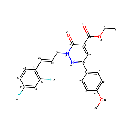 CCOC(=O)c1cc(-c2ccc(OC)cc2)nn(CC=Cc2ccc(F)cc2F)c1=O